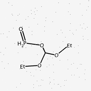 CCOC(OCC)O[PH2]=O